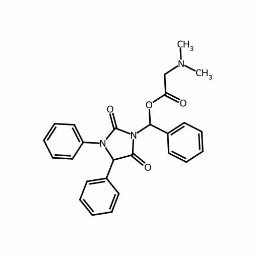 CN(C)CC(=O)OC(c1ccccc1)N1C(=O)C(c2ccccc2)N(c2ccccc2)C1=O